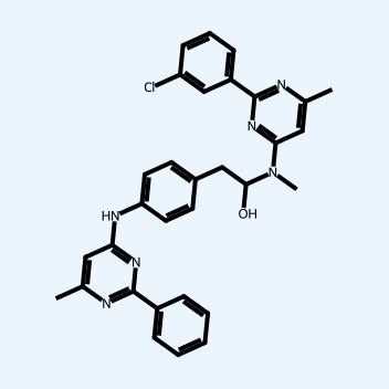 Cc1cc(Nc2ccc(CC(O)N(C)c3cc(C)nc(-c4cccc(Cl)c4)n3)cc2)nc(-c2ccccc2)n1